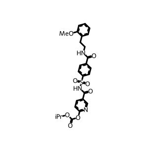 COc1ccccc1CCNC(=O)c1ccc(S(=O)(=O)NC(=O)c2ccc(OC(=O)OC(C)C)nc2)cc1